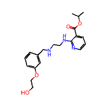 CC(C)OC(=O)c1cccnc1NCCNCc1cccc(OCCO)c1